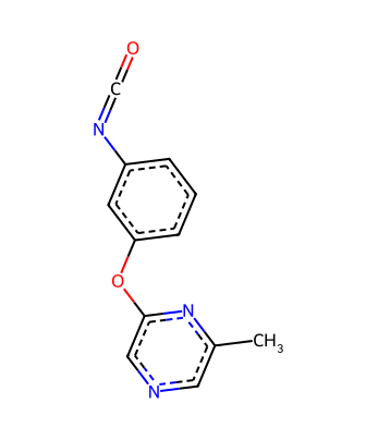 Cc1cncc(Oc2cccc(N=C=O)c2)n1